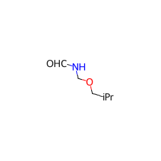 CC(C)COCNC=O